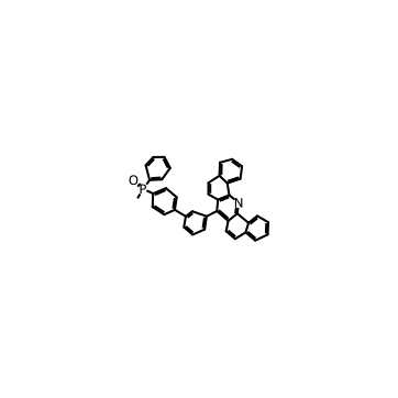 CP(=O)(c1ccccc1)c1ccc(-c2cccc(-c3c4ccc5ccccc5c4nc4c3ccc3ccccc34)c2)cc1